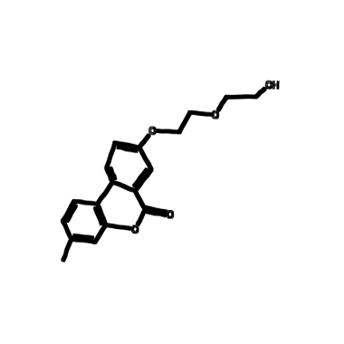 Cc1ccc2c(c1)oc(=O)c1cc(OCCOCCO)ccc12